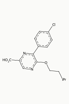 CC(C)CCOc1ncc(C(=O)O)nc1-c1ccc(Cl)cc1